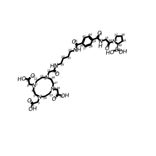 O=C(O)CN1CCN(CC(=O)O)CCN(CC(=O)NCCCCNC(=O)c2ccc(C(=O)NCC(=O)N3CCC[C@H]3B(O)O)cc2)CCN(CC(=O)O)CC1